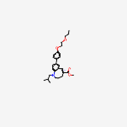 CCCOCCOc1ccc(-c2ccc3c(c2)/C=C(/C(=O)OC)CCCN3CC(C)C)cc1